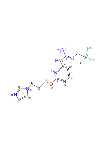 NC(=NCC(F)(F)F)Nc1ccnc(OCCCn2ccnc2)n1